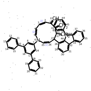 C=C1/C=C\C=C/N(c2cc(-c3ccccc3)cc(-c3ccccc3)c2)/C=C\C(c2cccc3c4ccccc4n(-c4ccccc4)c23)C(C)C1=C